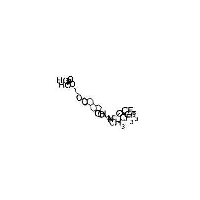 CN(CCOC1CCC2C3CCc4cc(OCCCCOP(=O)(O)O)ccc4C3CCC12C)CCOC(C(F)(F)F)(C(F)(F)F)C(F)(F)F